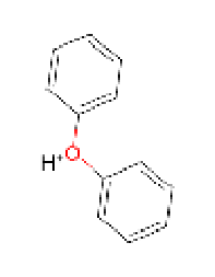 [H+].c1ccc(Oc2ccccc2)cc1